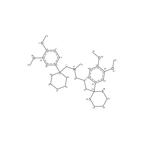 COc1ccc(C2(CN(C)CCCC3(c4ccc(OC)c(OC)c4)SCCCS3)CCCCC2)cc1OC